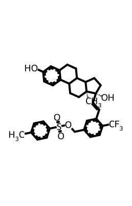 Cc1ccc(S(=O)(=O)OCc2ccc(C(F)(F)F)c(/C=C/[C@]3(O)CCC4C5CCc6cc(O)ccc6C5CC[C@@]43C)c2)cc1